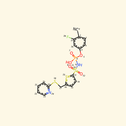 N#Cc1ccc(OP(=O)(O)NS(=O)(=O)c2ccc(CSc3ccccn3)s2)cc1F